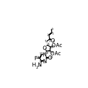 C/C=C/C(=O)C[C@H]1O[C@@H](n2cc(F)c(N)nc2=O)[C@H](OC(C)=O)[C@@H]1OC(C)=O